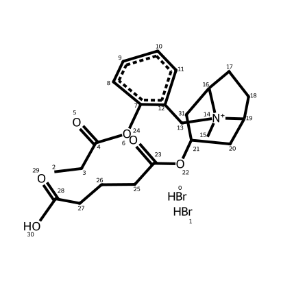 Br.Br.CCC(=O)Oc1ccccc1C[N+]1(C)C2CCC1CC(OC(=O)CCCC(=O)O)C2